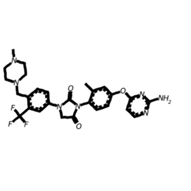 Cc1cc(Oc2ccnc(N)n2)ccc1N1C(=O)CN(c2ccc(CN3CCN(C)CC3)c(C(F)(F)F)c2)C1=O